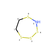 C1CSSSNS1